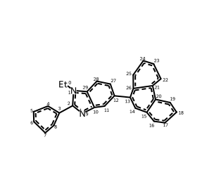 CCn1c(-c2ccccc2)nc2cc(-c3cc4ccccc4c4ccccc34)ccc21